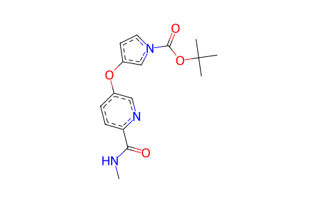 CNC(=O)c1ccc(Oc2ccn(C(=O)OC(C)(C)C)c2)cn1